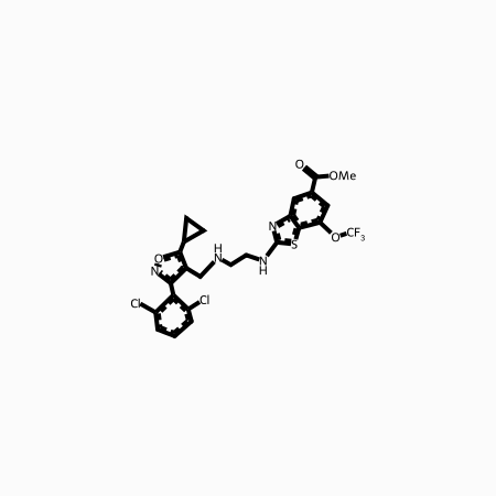 COC(=O)c1cc(OC(F)(F)F)c2sc(NCCNCc3c(-c4c(Cl)cccc4Cl)noc3C3CC3)nc2c1